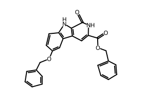 O=C(OCc1ccccc1)c1cc2c([nH]c3ccc(OCc4ccccc4)cc32)c(=O)[nH]1